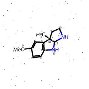 COc1ccc2c(c1)[C@]1(C)CCNC1N2